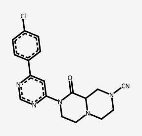 N#CN1CCN2CCN(c3cc(-c4ccc(Cl)cc4)ncn3)C(=O)C2C1